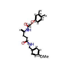 C=C(CCC(=O)NCc1ccc(OC)cc1)NC(=O)COc1ccc(C)c(C)c1